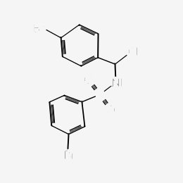 CC(NS(=O)(=O)c1cccc(Br)c1)c1ccc(Br)cc1